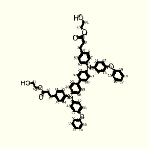 O=C(CCc1ccc(N(c2ccc(Oc3ccccc3)cc2)c2ccc(-c3ccc(N(c4ccc(CCC(=O)OCCO)cc4)c4ccc(Oc5ccccc5)cc4)cc3)cc2)cc1)OCCO